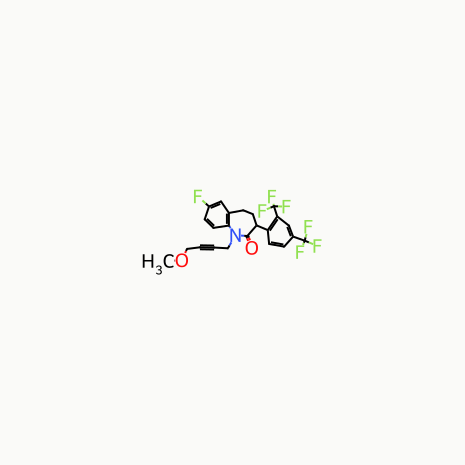 COCC#CCN1C(=O)C(c2ccc(C(F)(F)F)cc2C(F)(F)F)CCc2cc(F)ccc21